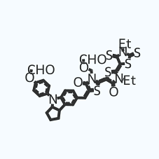 CCN1C(=S)S/C(=c2/s/c(=c3/s/c(=C/c4ccc5c(c4)C4CCCC4N5c4ccc(OC=O)cc4)c(=O)n3COC=O)c(=O)n2CC)C1=S